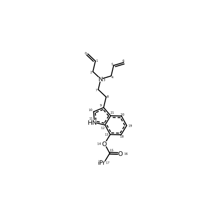 C=CCN(CC=C)CCc1c[nH]c2c(OC(=O)C(C)C)cccc12